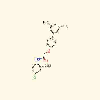 Cc1cc(C)cc(-c2ccc(OCC(=O)Nc3ccc(Cl)cc3C(=O)O)cc2)c1